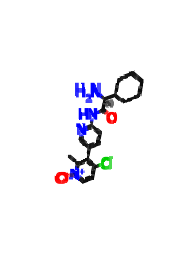 Cc1c(-c2ccc(NC(=O)[C@@H](N)C3CCCCC3)nc2)c(Cl)cc[n+]1[O-]